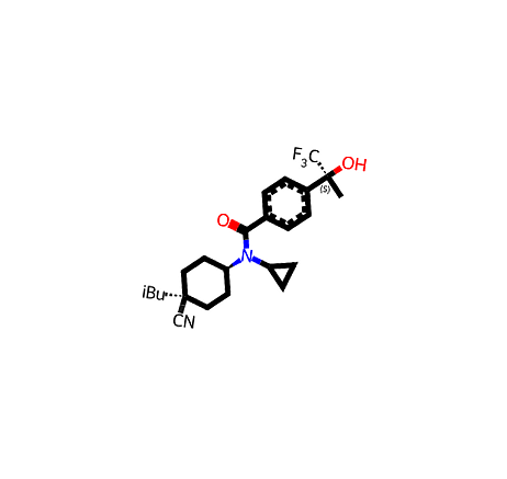 CCC(C)[C@]1(C#N)CC[C@@H](N(C(=O)c2ccc([C@](C)(O)C(F)(F)F)cc2)C2CC2)CC1